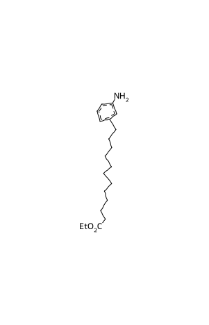 CCOC(=O)CCCCCCCCCCCc1cccc(N)c1